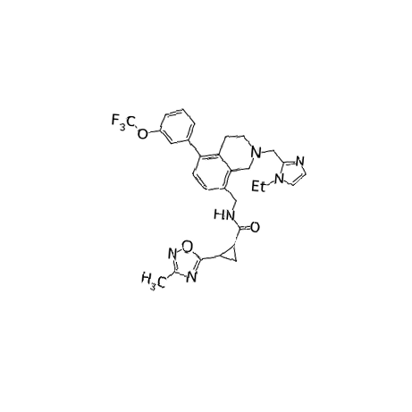 CCn1ccnc1CN1CCc2c(-c3cccc(OC(F)(F)F)c3)ccc(CNC(=O)C3CC3c3nc(C)no3)c2C1